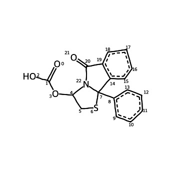 O=C(O)OC1CSC2(c3ccccc3)c3ccccc3C(=O)N12